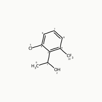 CC(O)c1c(Cl)cccc1C(F)(F)F